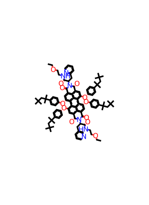 CCOCCNC(=O)C(Cc1cccnc1)N1C(=O)c2cc(Oc3ccc(C(C)(C)CC(C)(C)C)cc3)c3c4c(Oc5ccc(C(C)(C)CC(C)(C)C)cc5)cc5c6c(cc(Oc7ccc(C(C)(C)CC(C)(C)C)cc7)c(c7c(Oc8ccc(C(C)(C)CC(C)(C)C)cc8)cc(c2c37)C1=O)c64)C(=O)N(C(Cc1ccccn1)C(=O)NCCOCC)C5=O